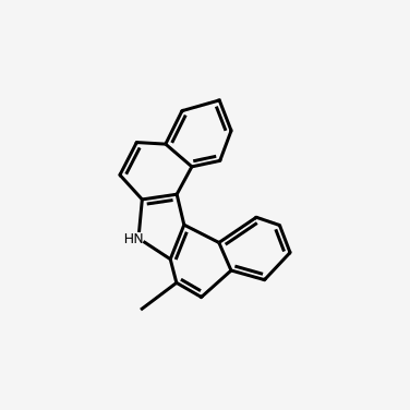 Cc1cc2ccccc2c2c1[nH]c1ccc3ccccc3c12